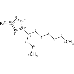 CCCCCCC(CCC)c1ccc(Br)s1